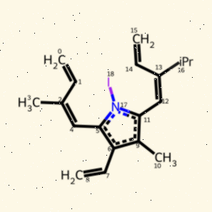 C=C/C(C)=C\c1c(C=C)c(C)c(/C=C(\C=C)C(C)C)n1I